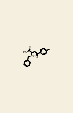 Cc1ccc(C(=O)CC([AsH]Cc2ccccc2)C(=O)O)cc1